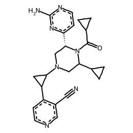 N#Cc1cnccc1C1CC1N1CC(C2CC2)N(C(=O)C2CC2)[C@@H](c2ccnc(N)n2)C1